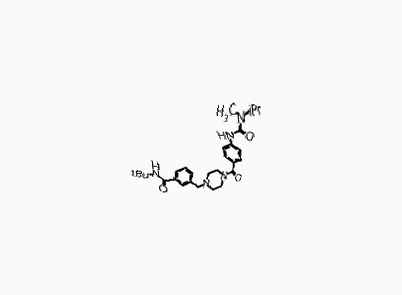 CC(C)N(C)C(=O)Nc1ccc(C(=O)N2CCN(Cc3cccc(C(=O)NC(C)(C)C)c3)CC2)cc1